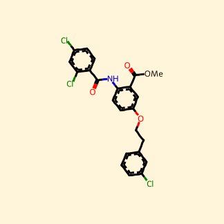 COC(=O)c1cc(OCCc2cccc(Cl)c2)ccc1NC(=O)c1ccc(Cl)cc1Cl